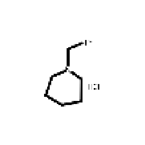 CC(C)CN1CCCCC1.Cl